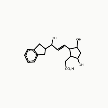 O=C(O)CC1C(O)CC(O)C1C=CC(O)C1Cc2ccccc2C1